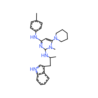 Cc1ccc(NC2=NC(NC(C)Cc3c[nH]c4ccccc34)N(C)C(N3CCCCC3)=C2)cc1